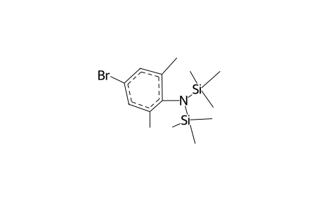 Cc1cc(Br)cc(C)c1N([Si](C)(C)C)[Si](C)(C)C